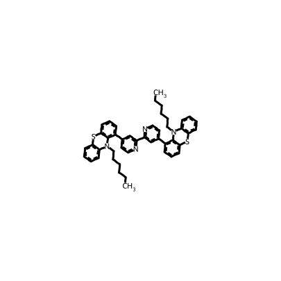 CCCCCCN1c2ccccc2Sc2cccc(-c3ccnc(-c4cc(-c5cccc6c5N(CCCCCC)c5ccccc5S6)ccn4)c3)c21